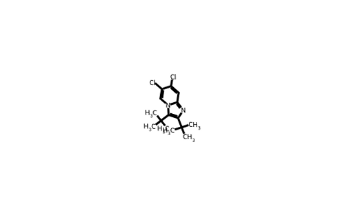 CC(C)(C)c1nc2cc(Cl)c(Cl)cn2c1C(C)(C)C